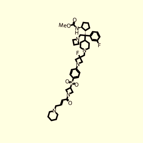 COC(=O)N[C@H]1CCC[C@@H]1C(CN1CCC1)(c1cccc(F)c1)C1CCN(CC2(F)CN(c3ccc(S(=O)(=O)C4CN(C(=O)/C=C/CN5CCCCC5)C4)cc3)C2)CC1